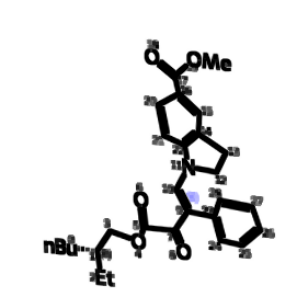 CCCC[C@@H](CC)COC(=O)C(=O)/C(=C/N1CCc2cc(C(=O)OC)ccc21)c1ccccc1